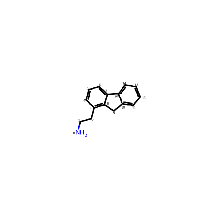 NCCc1cccc2c1Cc1ccccc1-2